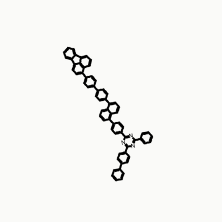 c1ccc(-c2ccc(-c3nc(-c4ccccc4)nc(-c4ccc(-c5cccc6c(-c7ccc(-c8ccc(-c9ccc%10c%11c(cccc9%11)-c9ccccc9-%10)cc8)cc7)cccc56)cc4)n3)cc2)cc1